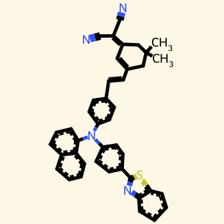 CC1(C)CC(C=Cc2ccc(N(c3ccc(-c4nc5ccccc5s4)cc3)c3cccc4ccccc34)cc2)=CC(=C(C#N)C#N)C1